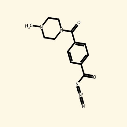 CN1CCN(C(=O)c2ccc(C(=O)N=[N+]=[N-])cc2)CC1